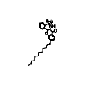 CCCCCCCCCCCCc1ccc(C(=O)C2NS(=O)(=O)c3ccccc3C2=O)cc1